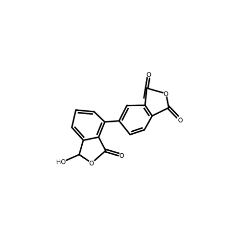 O=C1OC(=O)c2cc(-c3cccc4c3C(=O)OC4O)ccc21